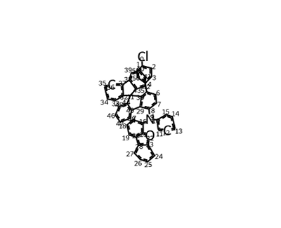 Clc1ccc(-c2ccc(N(c3ccccc3)c3cccc4c3oc3ccccc34)c3c2C2(c4ccccc4-c4ccccc42)c2ccccc2-3)cc1